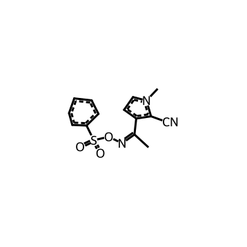 CC(=NOS(=O)(=O)c1ccccc1)c1ccn(C)c1C#N